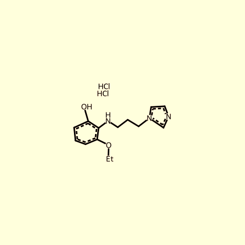 CCOc1cccc(O)c1NCCCn1ccnc1.Cl.Cl